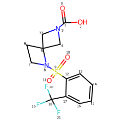 O=C(O)N1CC2(CCN2S(=O)(=O)c2ccccc2C(F)(F)F)C1